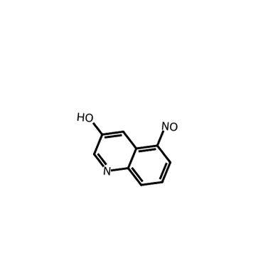 O=Nc1cccc2ncc(O)cc12